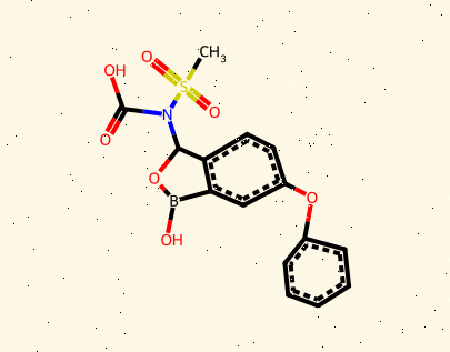 CS(=O)(=O)N(C(=O)O)C1OB(O)c2cc(Oc3ccccc3)ccc21